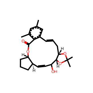 Cc1cc(C)c2c(c1)/C=C/C[C@@H]1OC(C)(C)O[C@@H]1C(O)/C=C\[C@H]1CCC[C@@H]1OC2=O